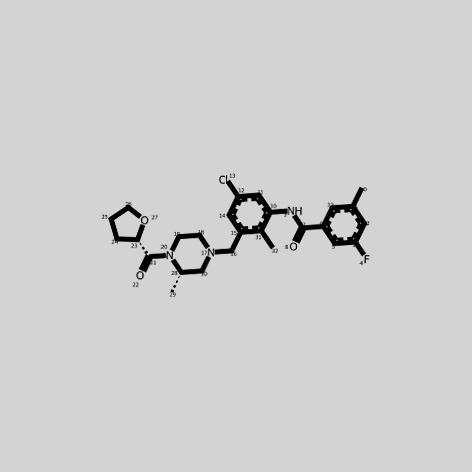 Cc1cc(F)cc(C(=O)Nc2cc(Cl)cc(CN3CCN(C(=O)[C@@H]4CCCO4)[C@@H](C)C3)c2C)c1